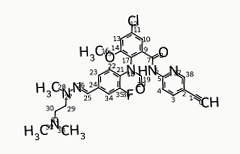 C#Cc1ccc(NC(=O)c2cc(Cl)cc(OC)c2N(C=O)c2ccc(C=NN(C)CCN(C)C)cc2F)nc1